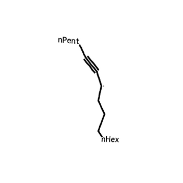 CCCCCC#C[CH]CCCCCCCCC